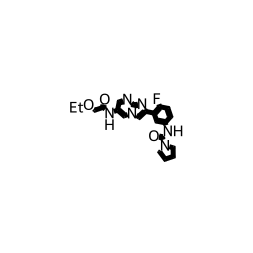 CCOCC(=O)Nc1cnc2nc(-c3cc(NC(=O)N4CCCC4)ccc3F)cn2c1